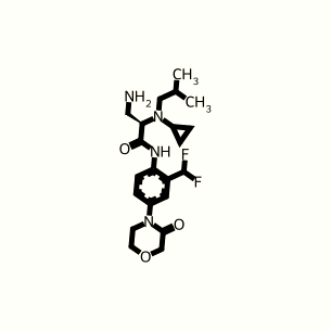 CC(C)CN(C1CC1)[C@H](CN)C(=O)Nc1ccc(N2CCOCC2=O)cc1C(F)F